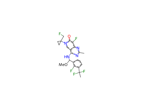 COC(Nc1nc(C)nc2c(F)c(=O)n(C3(CF)CC3)cc12)c1cccc(C(C)(F)F)c1F